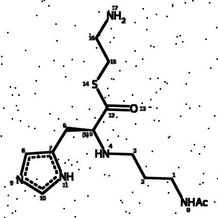 CC(=O)NCCCN[C@@H](Cc1cnc[nH]1)C(=O)SCCN